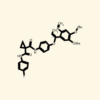 C=Nc1cc(OC(C)(C)C)c(OC)cc1/C(=C\C)Oc1ccc(NC(=O)C2(C(=O)Nc3ccc(F)cc3)CC2)cc1